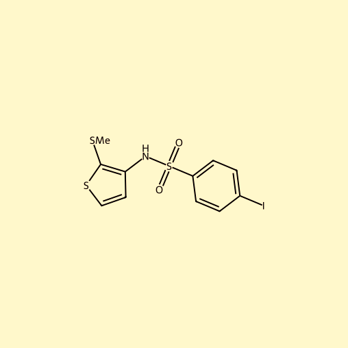 CSc1sccc1NS(=O)(=O)c1ccc(I)cc1